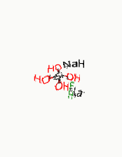 F.O[Si](O)(O)O.[La].[NaH]